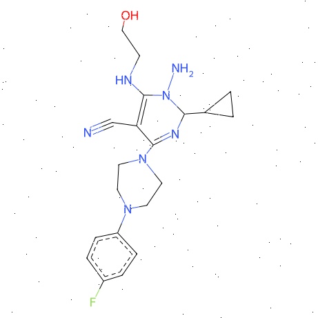 N#CC1=C(NCCO)N(N)C(C2CC2)N=C1N1CCN(c2ccc(F)cc2)CC1